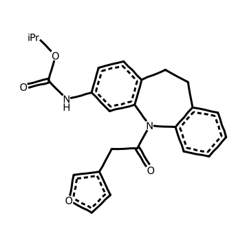 CC(C)OC(=O)Nc1ccc2c(c1)N(C(=O)Cc1ccoc1)c1ccccc1CC2